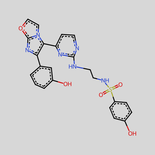 O=S(=O)(NCCNc1nccc(-c2c(-c3cccc(O)c3)nc3occn23)n1)c1ccc(O)cc1